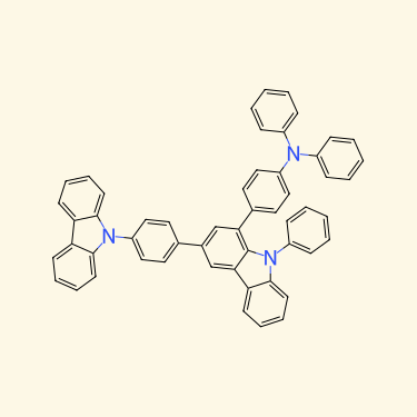 c1ccc(N(c2ccccc2)c2ccc(-c3cc(-c4ccc(-n5c6ccccc6c6ccccc65)cc4)cc4c5ccccc5n(-c5ccccc5)c34)cc2)cc1